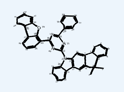 CC1(C)c2ccccc2-c2cc3c(cc21)c1ccccc1n3-c1nc(-c2ccccc2)nc(-c2cccc3c2oc2ccccc23)n1